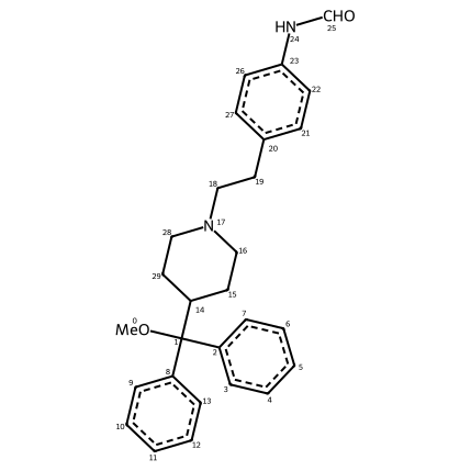 COC(c1ccccc1)(c1ccccc1)C1CCN(CCc2ccc(NC=O)cc2)CC1